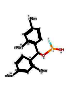 CCCCCCCCCc1ccc(C(OP(O)F)c2ccc(CCCCCCCCC)cc2CCCCCCCCC)c(CCCCCCCCC)c1